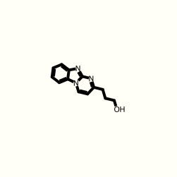 OCCCc1ccn2c(n1)nc1ccccc12